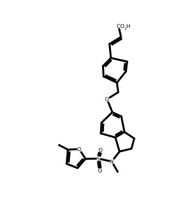 Cc1ccc(S(=O)(=O)N(C)C2CCc3cc(OCc4ccc(C=CC(=O)O)cc4)ccc32)o1